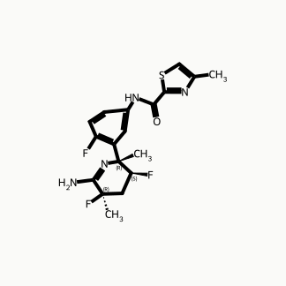 Cc1csc(C(=O)Nc2ccc(F)c([C@@]3(C)N=C(N)[C@](C)(F)C[C@@H]3F)c2)n1